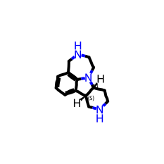 c1cc2c3c(c1)[C@H]1CNCC[C@H]1N3CCNC2